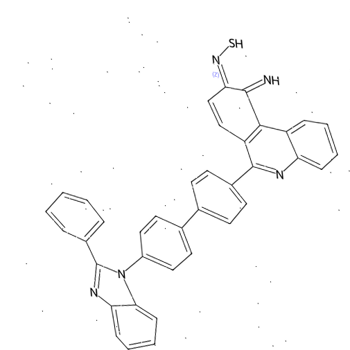 N=C1/C(=N\S)C=Cc2c(-c3ccc(-c4ccc(-n5c(-c6ccccc6)nc6ccccc65)cc4)cc3)nc3ccccc3c21